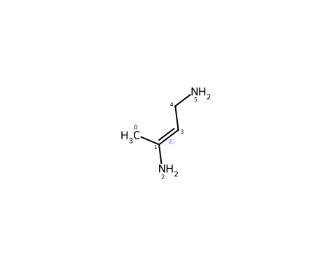 C/C(N)=C\CN